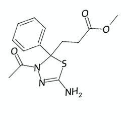 COC(=O)CCC1(c2ccccc2)SC(N)=NN1C(C)=O